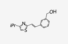 CC(C)c1csc(C=Cc2cccc(CO)c2)n1